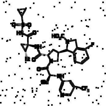 CC[C@@H]1C[C@]1(NC(=O)[C@@H]1C[C@@H](C2c3cccc(F)c3CN2C(=O)O)CN1C(=O)[C@@H](Nc1cncc(C(F)(F)F)c1)C(C)(C)C)C(=O)NS(=O)(=O)C1CC1